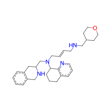 C(=C\CN(CC1Cc2ccccc2CN1)C1CCCc2cccnc21)/CNCC1CCOCC1